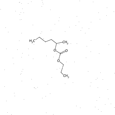 CCCCC(C)OC(=O)OCCC